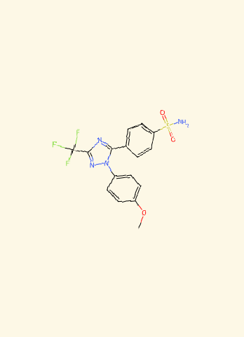 COc1ccc(-n2nc(C(F)(F)F)nc2-c2ccc(S(N)(=O)=O)cc2)cc1